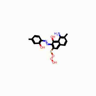 Cc1ccc(N=Nc2c(SOOO)cc3ccc(C)c(N)c3c2O)c(O)c1